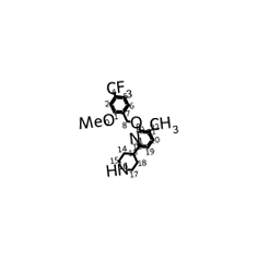 COc1cc(C(F)(F)F)ccc1COc1nc(C2CCNCC2)ccc1C